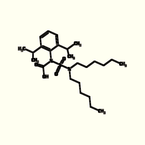 CCCCCCN(CCCCCC)S(=O)(=O)N(C(=O)O)c1c(C(C)C)cccc1C(C)C